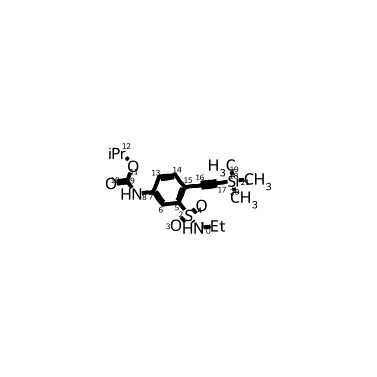 CCNS(=O)(=O)c1cc(NC(=O)OC(C)C)ccc1C#C[Si](C)(C)C